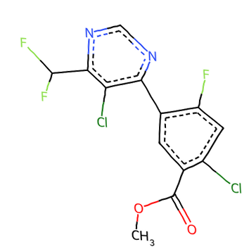 COC(=O)c1cc(-c2ncnc(C(F)F)c2Cl)c(F)cc1Cl